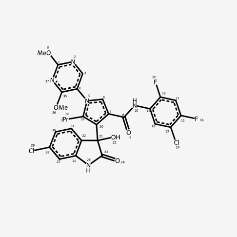 COc1ncc(-n2cc(C(=O)Nc3cc(Cl)c(F)cc3F)c(C3(O)C(=O)Nc4cc(Cl)ccc43)c2C(C)C)c(OC)n1